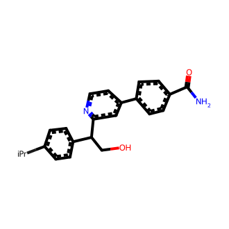 CC(C)c1ccc(C(CO)c2cc(-c3ccc(C(N)=O)cc3)ccn2)cc1